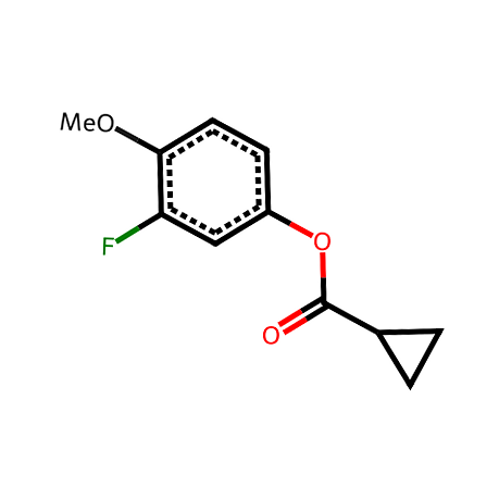 COc1ccc(OC(=O)C2CC2)cc1F